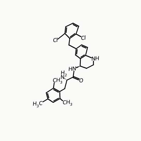 Cc1cc(C)c(C[C@H](N)C(=O)N[C@@H]2CCNc3ccc(Cc4c(Cl)cccc4Cl)cc32)c(C)c1